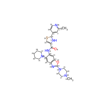 Cc1cc(C2NC(C(=O)Nc3cc4oc(N5CCN(C)CC5)nc4cc3N3CCCCC3)=CS2)ccn1